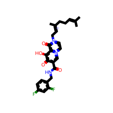 CC(C)=CCC/C(C)=C/Cn1ccn2cc(C(=O)NCc3ccc(F)cc3F)c(=O)c(O)c2c1=O